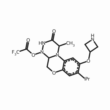 CC(C)c1cc2c(cc1OC1CNC1)N1C(C)C(=O)NN(OC(=O)C(F)(F)F)C1CO2